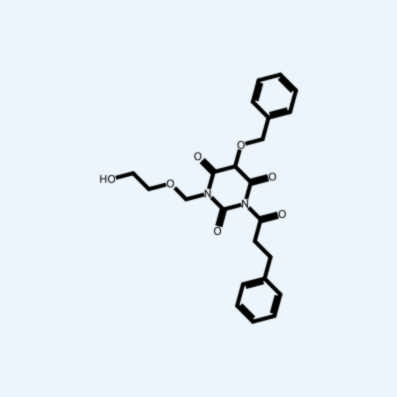 O=C1C(OCc2ccccc2)C(=O)N(C(=O)CCc2ccccc2)C(=O)N1COCCO